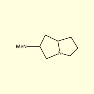 CNC1CC2CCCN2C1